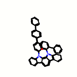 c1cccc(-c2ccccc2-n2c3c(c4ccc5c6ccccc6n(-c6ccc(-c7ccc(-c8ccccc8)cc7)cc6)c5c42)C=CCC3)c#1